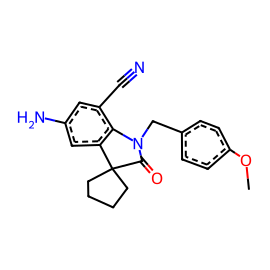 COc1ccc(CN2C(=O)C3(CCCC3)c3cc(N)cc(C#N)c32)cc1